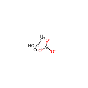 CC(=O)O.[Cu+3].[O-][As]([O-])[O-]